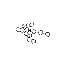 c1ccc(-c2ccc(-c3ccc(N(c4cccc5c4oc4c6ccccc6ccc54)c4c5ccccc5cc5sc6c7ccccc7ccc6c45)cc3)cc2)cc1